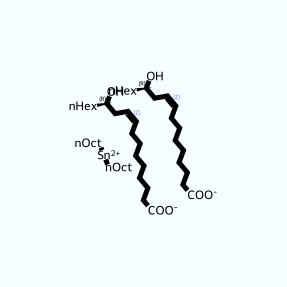 CCCCCCC[CH2][Sn+2][CH2]CCCCCCC.CCCCCC[C@@H](O)C/C=C\CCCCCCCC(=O)[O-].CCCCCC[C@@H](O)C/C=C\CCCCCCCC(=O)[O-]